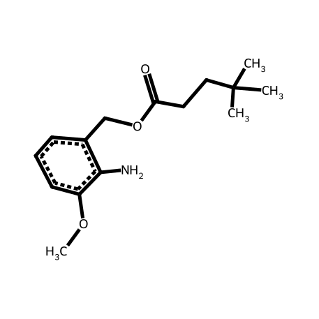 COc1cccc(COC(=O)CCC(C)(C)C)c1N